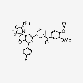 COc1cc(C(=O)NC[C@@H](CF)c2cc3c(c(-c4ccc(F)cc4)n2)OC[C@@]3(N[S+]([O-])C(C)(C)C)C(F)(F)F)ccc1OC1CC1